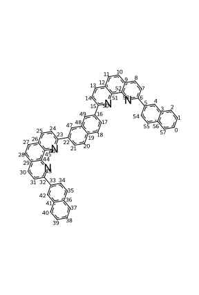 c1ccc2cc(-c3ccc4ccc5ccc(-c6ccc7ccc(-c8ccc9ccc%10ccc(-c%11ccc%12ccccc%12c%11)nc%10c9n8)cc7c6)nc5c4n3)ccc2c1